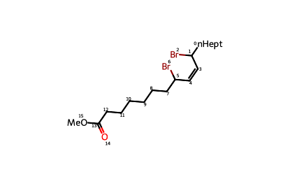 CCCCCCCC(Br)/C=C\C(Br)CCCCCCC(=O)OC